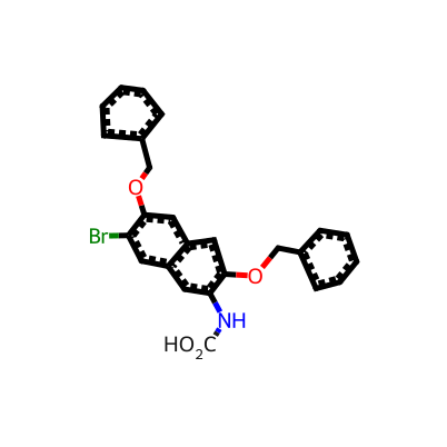 O=C(O)Nc1cc2cc(Br)c(OCc3ccccc3)cc2cc1OCc1ccccc1